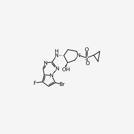 O=S(=O)(C1CC1)N1CC[C@@H](Nc2ncc3c(F)cc(Br)n3n2)[C@H](O)C1